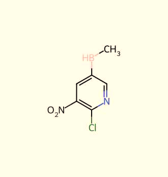 CBc1cnc(Cl)c([N+](=O)[O-])c1